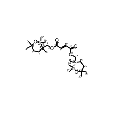 CC1(C)CC[Si](C)(COC(=O)C=CC(=O)OC[Si]2(C)CCC(C)(C)O[Si]2(C)C)[Si](C)(C)O1